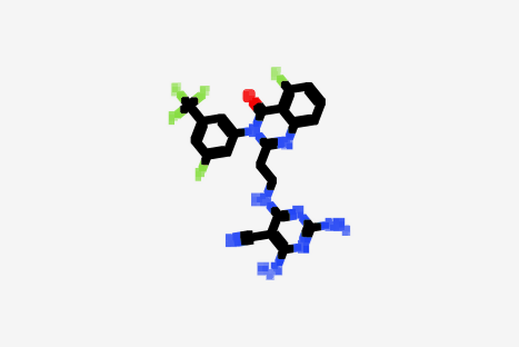 N#Cc1c(N)nc(N)nc1NCCc1nc2cccc(F)c2c(=O)n1-c1cc(F)cc(C(F)(F)F)c1